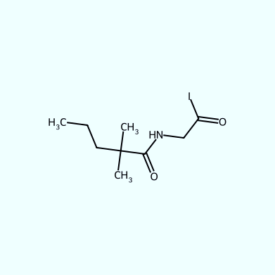 CCCC(C)(C)C(=O)NCC(=O)I